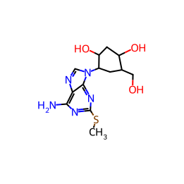 CSc1nc(N)c2ncn(C3CC(CO)C(O)CC3O)c2n1